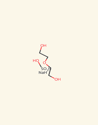 O=S(=O)(O)O.OCCOCCO.[NaH]